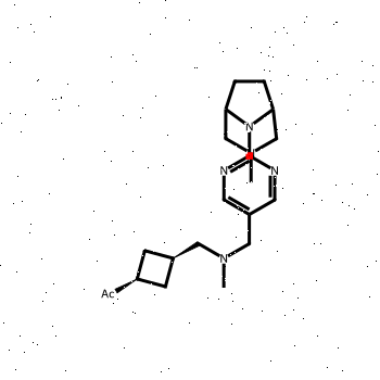 CC(=O)[C@H]1C[C@@H](CN(C)Cc2cnc(N3C4CCC3CN(C)C4)nc2)C1